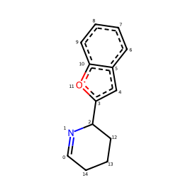 C1=NC(c2cc3ccccc3o2)CCC1